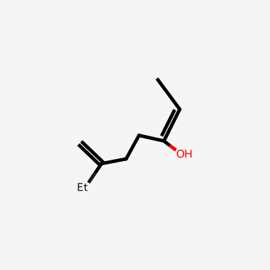 C=C(CC)CC/C(O)=C\C